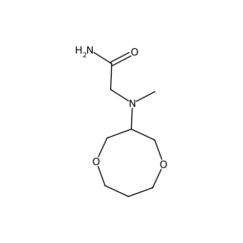 CN(CC(N)=O)C1COCCCOC1